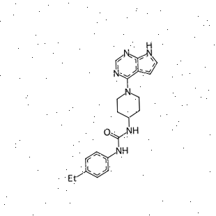 CCc1ccc(NC(=O)NC2CCN(c3ncnc4[nH]ccc34)CC2)cc1